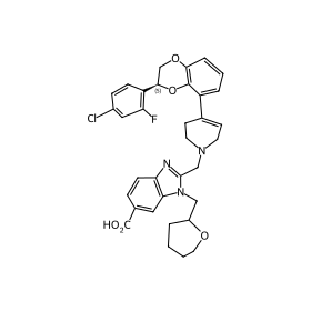 O=C(O)c1ccc2nc(CN3CC=C(c4cccc5c4O[C@@H](c4ccc(Cl)cc4F)CO5)CC3)n(CC3CCCCO3)c2c1